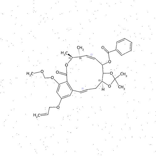 C=CCOc1cc2c(c(OCOC)c1)C(=O)O[C@@H](C)[C@H](C)/C=C\C(OC(=O)c1ccccc1)C1OC(C)(C)O[C@H]1C/C=C/2